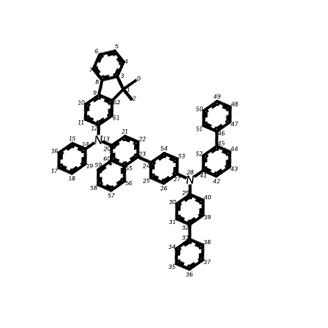 CC1(C)c2ccccc2-c2ccc(N(c3ccccc3)c3ccc(-c4ccc(N(c5ccc(-c6ccccc6)cc5)c5cccc(-c6ccccc6)c5)cc4)c4ccccc34)cc21